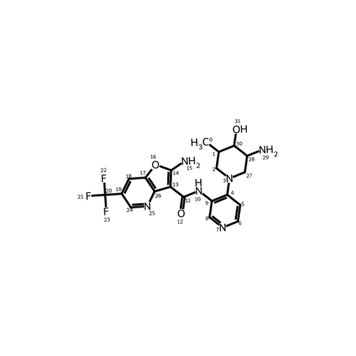 CC1CN(c2ccncc2NC(=O)c2c(N)oc3cc(C(F)(F)F)cnc23)CC(N)C1O